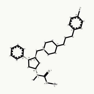 CN(C(=O)OC(C)(C)C)[C@H]1C[C@H](CN2CCC(CCCc3ccc(F)cc3)CC2)[C@@H](c2ccccc2)C1